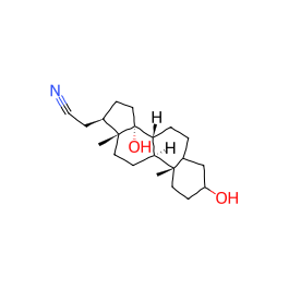 C[C@]12CCC(O)CC1CC[C@@H]1[C@@H]2CC[C@]2(C)[C@@H](CC#N)CC[C@@]12O